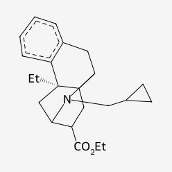 CCOC(=O)C1CC2C3Cc4ccccc4[C@]2(CC)CC1N3CC1CC1